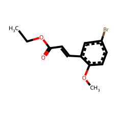 CCOC(=O)C=Cc1cc(Br)ccc1OC